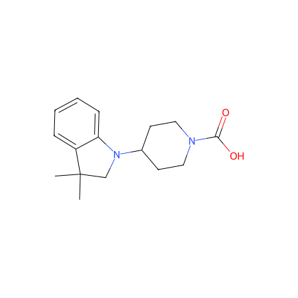 CC1(C)CN(C2CCN(C(=O)O)CC2)c2ccccc21